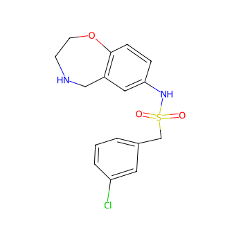 O=S(=O)(Cc1cccc(Cl)c1)Nc1ccc2c(c1)CNCCO2